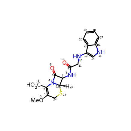 COC1=C(C(=O)O)N2C(=O)C(NC(=O)CNc3c[nH]c4ccccc34)[C@@H]2SC1